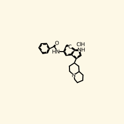 Cl.O=C(Nc1ccc2[nH]cc(C3CCN4CCCCC4C3)c2c1)c1ccccc1